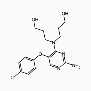 Nc1ncc(Oc2ccc(Cl)cc2)c(N(CCCO)CCCO)n1